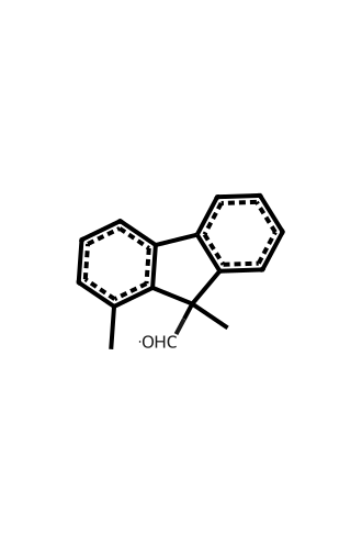 Cc1cccc2c1C(C)([C]=O)c1ccccc1-2